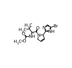 COC(=O)N[C@H](C(=O)N1CC=CC1c1ncc(Br)[nH]1)C(C)C